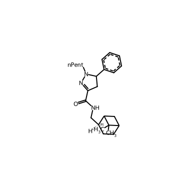 CCCCCN1N=C(C(=O)NC[C@@H]2CCC3CC2C3(C)C)CC1c1ccccc1